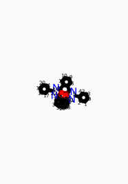 c1ccc(-c2nc(-c3ccccc3-c3nc(-c4ccccc4)nc4c3oc3ccccc34)c3oc4ccccc4c3n2)cc1